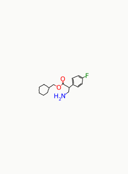 NCC(C(=O)OCC1CCCCC1)c1ccc(F)cc1